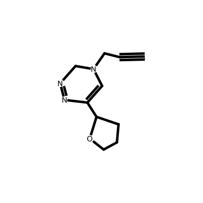 C#CCN1C=C(C2CCCO2)N=NC1